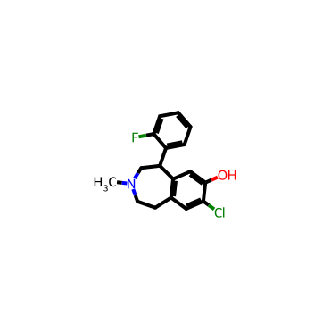 CN1CCc2cc(Cl)c(O)cc2C(c2ccccc2F)C1